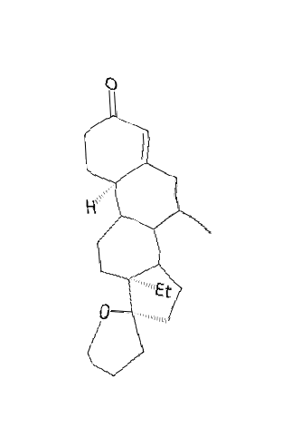 CC[C@]12CCC3C(C(C)CC4=CC(=O)CC[C@@H]43)C1CC[C@@]21CCCO1